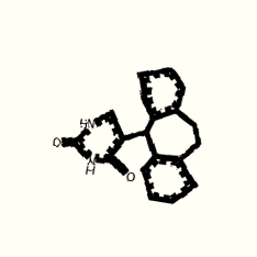 O=c1[nH]cc(C2c3ccccc3CCc3ccccc32)c(=O)[nH]1